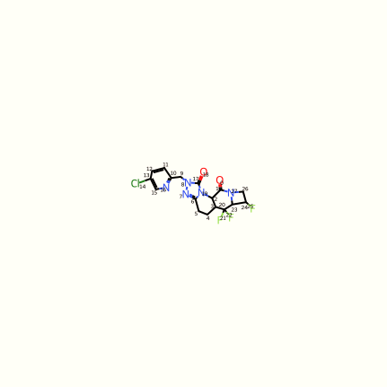 O=C1C2C(CCc3nn(Cc4ccc(Cl)cn4)c(=O)n32)C(F)(F)C2C(F)CN12